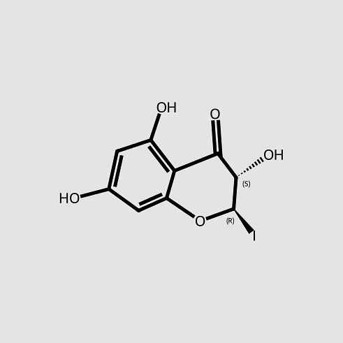 O=C1c2c(O)cc(O)cc2O[C@H](I)[C@H]1O